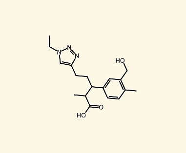 CCn1cc(CCC(c2ccc(C)c(CO)c2)C(C)C(=O)O)nn1